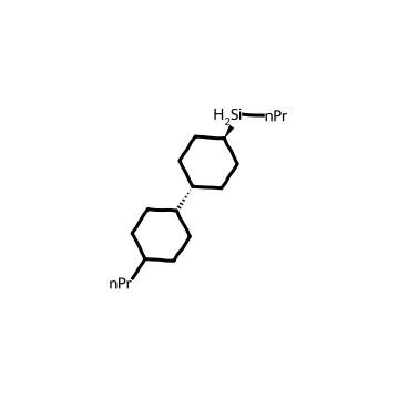 CCC[SiH2][C@H]1CC[C@H](C2CCC(CCC)CC2)CC1